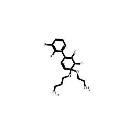 CCCCOC1(OCCC)C=CC(c2cccc(F)c2F)=C(F)C1F